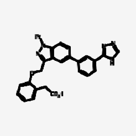 CC(C)n1nc(COc2ccccc2CC(=O)O)c2cc(-c3cccc(-c4nnc[nH]4)c3)ccc21